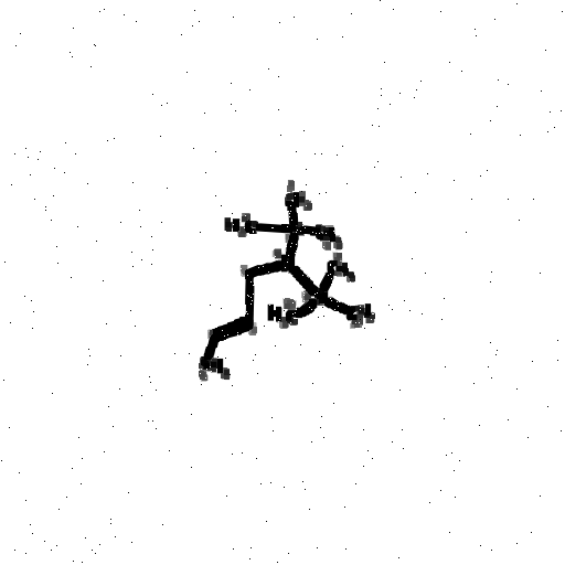 C[Si](C)(C)N(CC=C[SiH3])[Si](C)(C)C